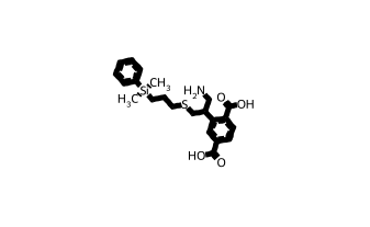 C[Si](C)(CCCSCC(CN)c1cc(C(=O)O)ccc1C(=O)O)c1ccccc1